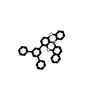 S=P12c3ccccc3Oc3ccc(-c4cc(-c5ccccc5)cc(-c5ccccc5)c4)c(c31)Oc1c2ccc2ccccc12